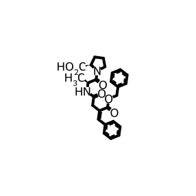 C[C@H](NC(=O)CC(=Cc1ccccc1)C(=O)OCc1ccccc1)C(=O)N1CCC[C@H]1C(=O)O